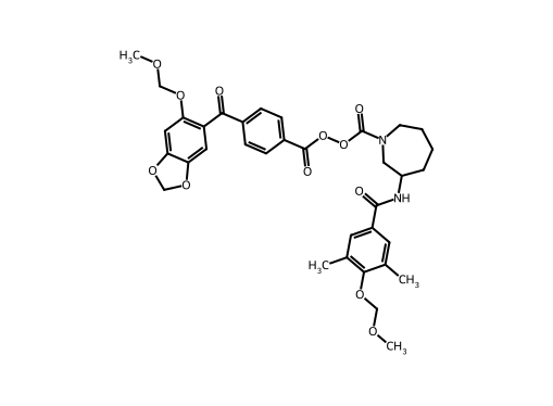 COCOc1cc2c(cc1C(=O)c1ccc(C(=O)OOC(=O)N3CCCCC(NC(=O)c4cc(C)c(OCOC)c(C)c4)C3)cc1)OCO2